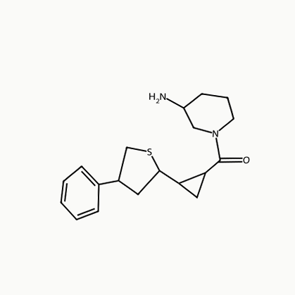 NC1CCCN(C(=O)C2CC2C2CC(c3ccccc3)CS2)C1